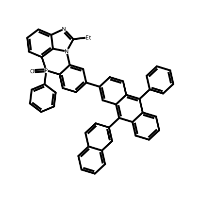 CCc1nc2cccc3c2n1-c1cc(-c2ccc4c(-c5ccccc5)c5ccccc5c(-c5ccc6ccccc6c5)c4c2)ccc1P3(=O)c1ccccc1